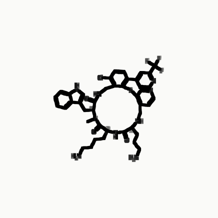 CN1C(=O)[C@H](CCCCN)NC(=O)[C@H](CCCN)NCc2ccncc2Sc2c(-c3ccnc(C(F)(F)F)c3)ccc(Cl)c2CNC(=O)[C@@H]1Cc1c[nH]c2ccccc12